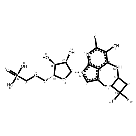 N#Cc1c(Cl)nc2c(c(F)cn2[C@@H]2O[C@H](COCP(=O)(O)O)[C@@H](O)[C@H]2O)c1NC1CC(F)(F)C1